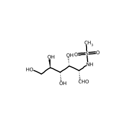 CS(=O)(=O)N[C@H](C=O)[C@@H](O)[C@H](O)[C@H](O)CO